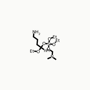 CCCC(CCCN)(OCC)O[Si](OCC)(OCC)OCN(C)C